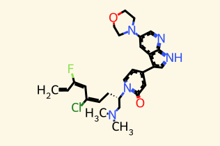 C=C/C(F)=C\C(Cl)=C/C[C@@H](CN(C)C)n1ccc(-c2c[nH]c3ncc(N4CCOCC4)cc23)cc1=O